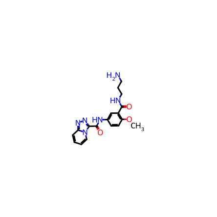 COc1ccc(NC(=O)c2nnc3ccccn23)cc1C(=O)NCCCN